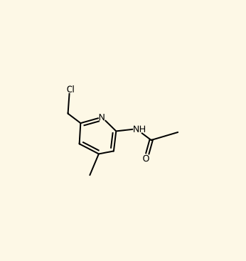 CC(=O)Nc1cc(C)cc(CCl)n1